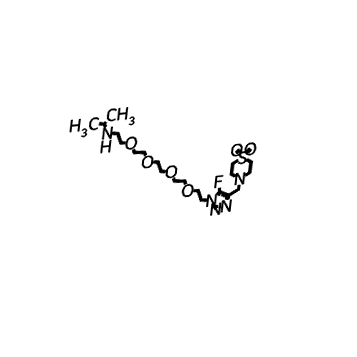 CC(C)NCCOCCOCCOCCOCCn1nnc(CN2CCS(=O)(=O)CC2)c1F